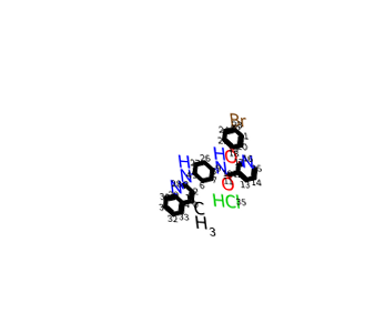 Cc1cc(N[C@H]2CC[C@@H](NC(=O)c3cccnc3Oc3ccc(Br)cc3)CC2)nc2ccccc12.Cl